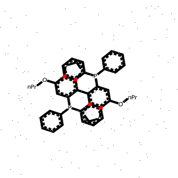 CCCOc1cc(P(c2ccccc2)c2ccccc2)c(-c2c(P(c3ccccc3)c3ccccc3)cc(OCCC)c3c2OCO3)c2c1OCO2